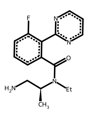 CCN(C(=O)c1cccc(F)c1-c1ncccn1)[C@@H](C)CN